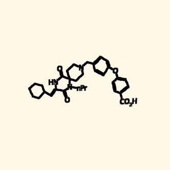 CCCN1C(=O)C(=CC2CCCCC2)NC(=O)C12CCN(Cc1ccc(Oc3ccc(C(=O)O)cc3)cc1)CC2